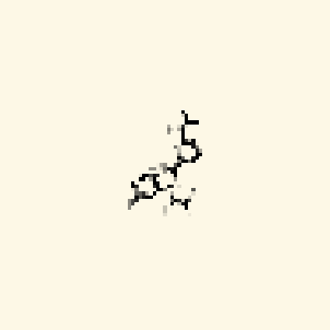 CC(C)Nc1nccc(C(=O)Nc2cnc(F)cc2OC(F)C(F)F)n1